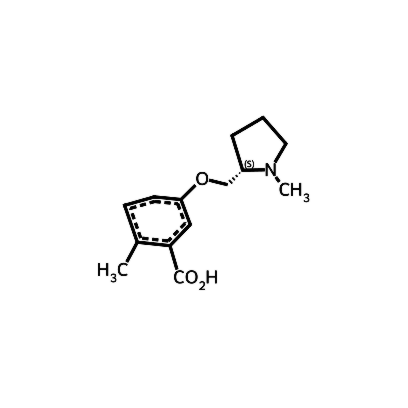 Cc1ccc(OC[C@@H]2CCCN2C)cc1C(=O)O